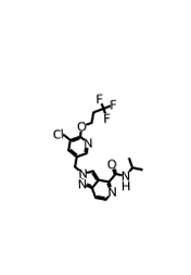 CC(C)NC(=O)c1nccc2nn(Cc3cnc(OCCC(F)(F)F)c(Cl)c3)cc12